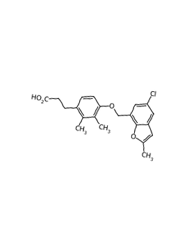 Cc1cc2cc(Cl)cc(COc3ccc(CCC(=O)O)c(C)c3C)c2o1